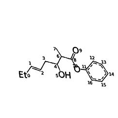 CCC=CCC(O)C(C)C(=O)Oc1ccccc1